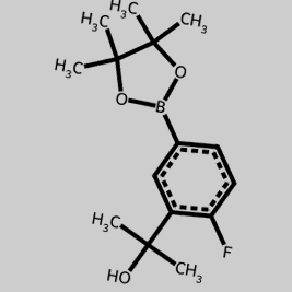 CC(C)(O)c1cc(B2OC(C)(C)C(C)(C)O2)ccc1F